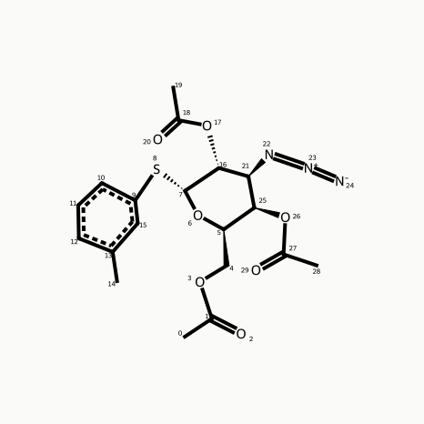 CC(=O)OC[C@H]1O[C@H](Sc2cccc(C)c2)[C@H](OC(C)=O)[C@@H](N=[N+]=[N-])[C@H]1OC(C)=O